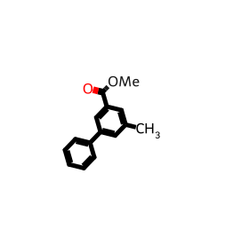 COC(=O)c1cc(C)cc(-c2ccccc2)c1